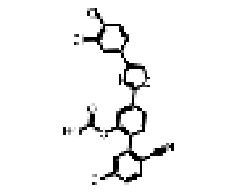 N#Cc1ccc(Cl)cc1-c1ccc(-c2nc(-c3ccc(Cl)c(Cl)c3)cs2)cc1OC(=O)O